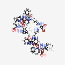 CN[C@@H](C)C(=O)NC1C(=O)N2[C@@H](CC[C@@H]1CCO)CC[C@H]2C(=O)NC(C(=O)NCCCCNc1c(NCCCCNC(=O)C(NC(=O)[C@@H]2CC[C@@H]3CC[C@H](CO)[C@H](NC(=O)[C@H](C)NC)C(=O)N32)(c2ccccc2)c2ccccc2)c(=O)c1=O)(c1ccccc1)c1ccccc1